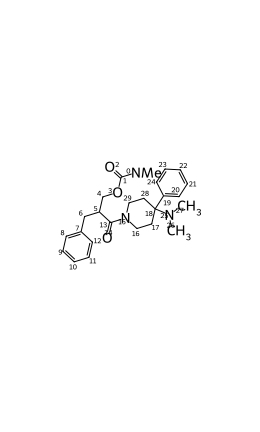 CNC(=O)OCC(Cc1ccccc1)C(=O)N1CCC(c2ccccc2)(N(C)C)CC1